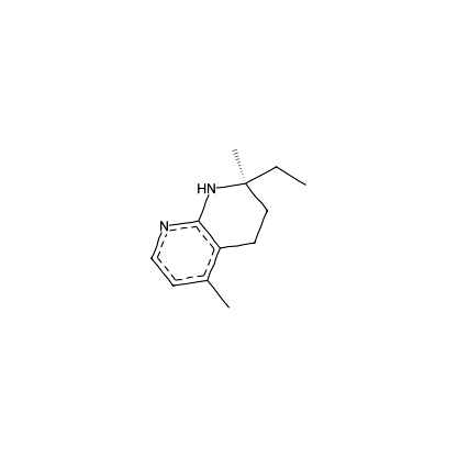 CC[C@@]1(C)CCc2c(C)ccnc2N1